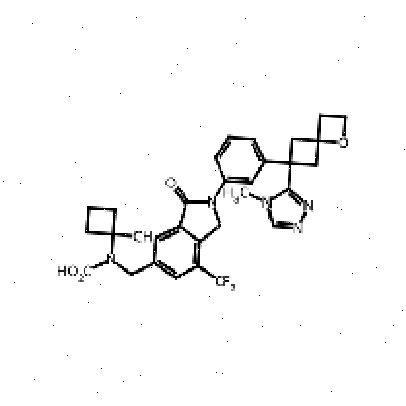 Cn1cnnc1C1(c2cccc(N3Cc4c(cc(CN(C(=O)O)C5(C)CCC5)cc4C(F)(F)F)C3=O)c2)CC2(CCO2)C1